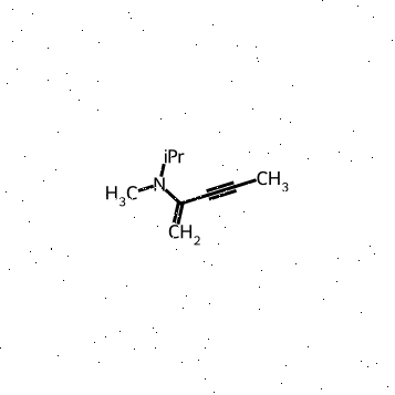 C=C(C#CC)N(C)C(C)C